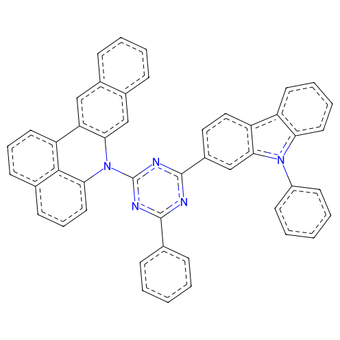 c1ccc(-c2nc(-c3ccc4c5ccccc5n(-c5ccccc5)c4c3)nc(N3c4cc5ccccc5cc4-c4cccc5cccc3c45)n2)cc1